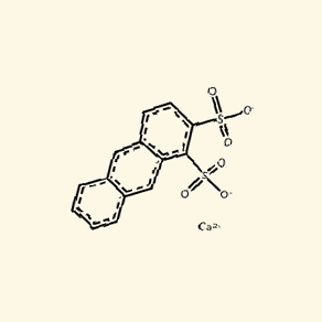 O=S(=O)([O-])c1ccc2cc3ccccc3cc2c1S(=O)(=O)[O-].[Ca+2]